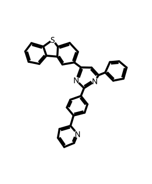 c1ccc(-c2cc(-c3ccc4sc5ccccc5c4c3)nc(-c3ccc(-c4ccccn4)cc3)n2)cc1